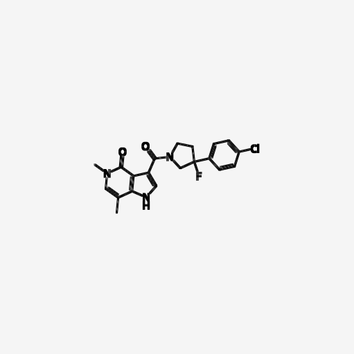 Cc1cn(C)c(=O)c2c(C(=O)N3CCC(F)(c4ccc(Cl)cc4)C3)c[nH]c12